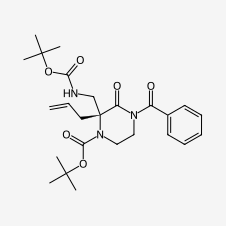 C=CC[C@@]1(CNC(=O)OC(C)(C)C)C(=O)N(C(=O)c2ccccc2)CCN1C(=O)OC(C)(C)C